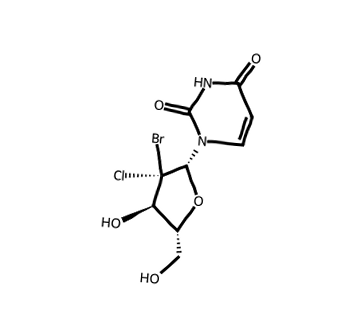 O=c1ccn([C@@H]2O[C@H](CO)[C@@H](O)[C@@]2(Cl)Br)c(=O)[nH]1